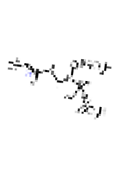 CC/C=C(\C)CCC(OS(=O)(=O)O)C(C)(C)OS(=O)(=O)O